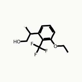 [CH2]C(CO)c1cccc(OCC)c1C(F)(F)F